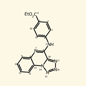 CCOC(=O)c1ccc(Nc2nc3ccccc3n3nnnc23)cc1